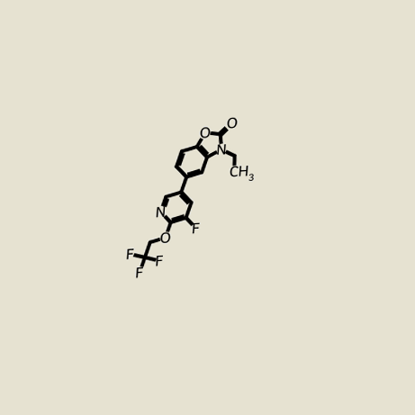 CCn1c(=O)oc2ccc(-c3cnc(OCC(F)(F)F)c(F)c3)cc21